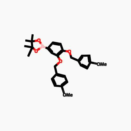 COc1ccc(COc2ccc(B3OC(C)(C)C(C)(C)O3)cc2OCc2ccc(OC)cc2)cc1